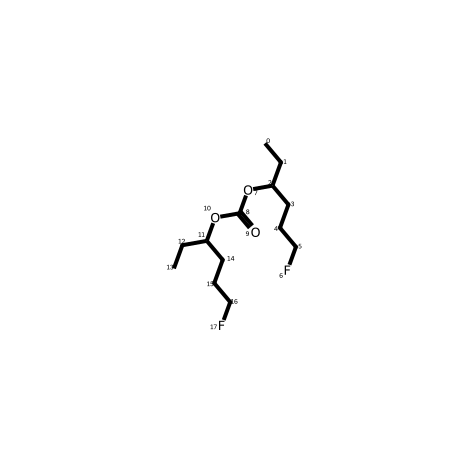 CCC(CCCF)OC(=O)OC(CC)CCCF